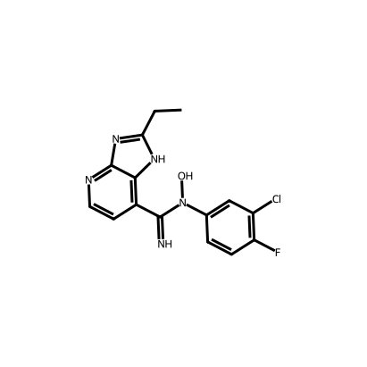 CCc1nc2nccc(C(=N)N(O)c3ccc(F)c(Cl)c3)c2[nH]1